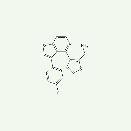 NCc1sccc1-c1nccc2scc(-c3ccc(F)cc3)c12